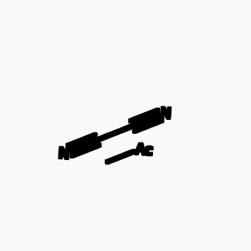 CC(C)=O.N#CC#N